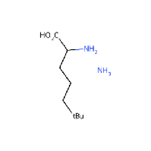 CC(C)(C)CCCC(N)C(=O)O.N